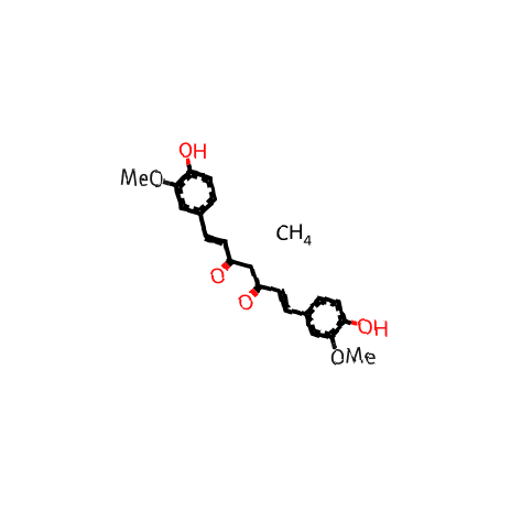 C.COc1cc(/C=C/C(=O)CC(=O)/C=C/c2ccc(O)c(OC)c2)ccc1O